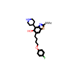 CNc1nc2c(C3CCNCC3)c(O)c(CCCCOc3ccc(F)cc3)cc2s1